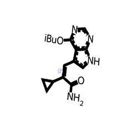 CC(C)COc1ncnc2[nH]cc(/C=C(\C(N)=O)C3CC3)c12